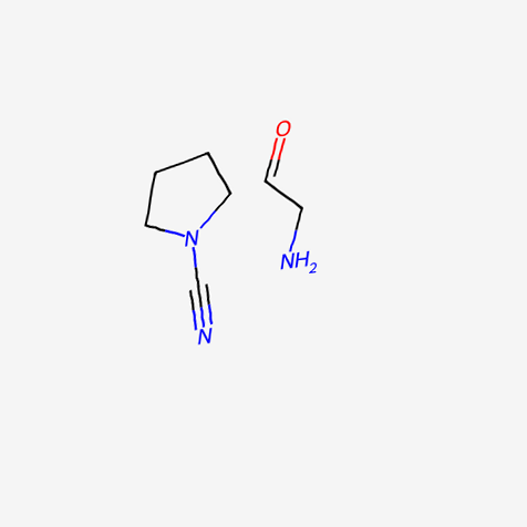 N#CN1CCCC1.NCC=O